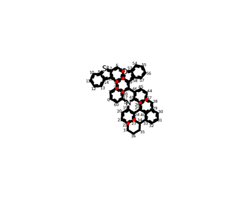 c1cc(-c2cccc3sc4ccccc4c23)cc(N(c2ccccc2-c2cccc3cccc(C4CCCCC4)c23)c2ccccc2-c2cccc3oc4ccccc4c23)c1